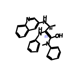 C[C@H](Nc1cnc2ccccc2c1)/C(Nc1ccccc1)=C(\O)N(C)c1ccccc1